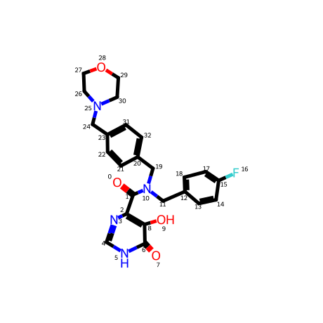 O=C(c1nc[nH]c(=O)c1O)N(Cc1ccc(F)cc1)Cc1ccc(CN2CCOCC2)cc1